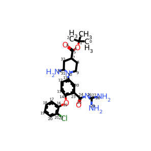 CC(C)(C)OC(=O)C1CCN(c2ccc(Oc3ccccc3Cl)c(C(=O)N=C(N)N)c2)C(N)C1